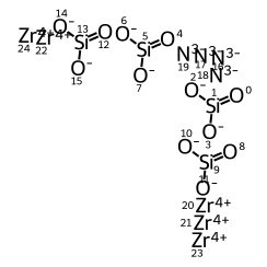 O=[Si]([O-])[O-].O=[Si]([O-])[O-].O=[Si]([O-])[O-].O=[Si]([O-])[O-].[N-3].[N-3].[N-3].[N-3].[Zr+4].[Zr+4].[Zr+4].[Zr+4].[Zr+4]